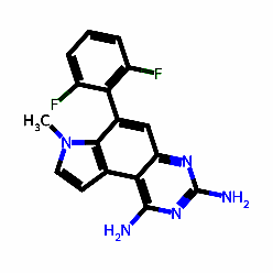 Cn1ccc2c3c(N)nc(N)nc3cc(-c3c(F)cccc3F)c21